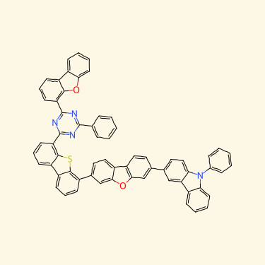 c1ccc(-c2nc(-c3cccc4c3oc3ccccc34)nc(-c3cccc4c3sc3c(-c5ccc6c(c5)oc5cc(-c7ccc8c(c7)c7ccccc7n8-c7ccccc7)ccc56)cccc34)n2)cc1